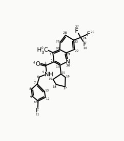 Cc1c(C(=O)NCc2ccc(F)cc2)c(C2CCCC2)nc2cc(C(F)(F)F)ccc12